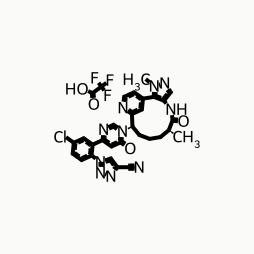 C[C@@H]1CCC[C@H](n2cnc(-c3cc(Cl)ccc3-n3cc(C#N)nn3)cc2=O)c2cc(ccn2)-c2c(cnn2C)NC1=O.O=C(O)C(F)(F)F